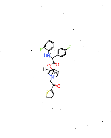 O=C(C[N+]12CCC(CC1)[C@@H](OC(=O)C(Nc1ccccc1F)c1ccc(F)cc1)C2)c1cccs1